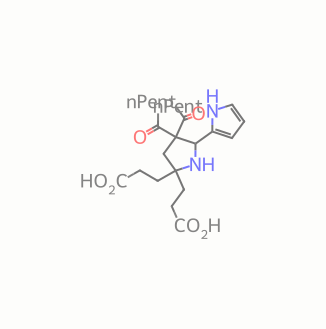 CCCCCC(=O)C1(C(=O)CCCCC)CC(CCC(=O)O)(CCC(=O)O)NC1c1ccc[nH]1